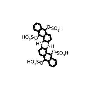 O=S(=O)(O)Oc1c2ccccc2c(OS(=O)(=O)O)c2c3c(ccc12)Nc1c(ccc2c(OS(=O)(=O)O)c4ccccc4c(OS(=O)(=O)O)c12)N3